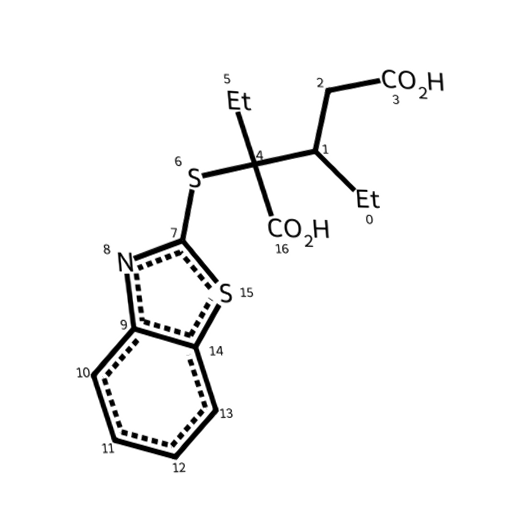 CCC(CC(=O)O)C(CC)(Sc1nc2ccccc2s1)C(=O)O